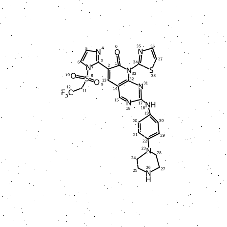 O=c1c(-c2nccn2S(=O)(=O)CC(F)(F)F)cc2cnc(Nc3ccc(N4CCNCC4)cc3)nc2n1-c1nccs1